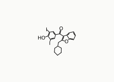 O=C(c1cc(I)c(O)c(I)c1)c1c(CC2CCCCC2)oc2ccccc12